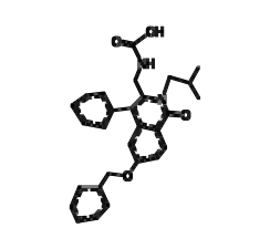 CC(C)Cn1c(CNC(=O)O)c(-c2ccccc2)c2cc(OCc3ccccc3)ccc2c1=O